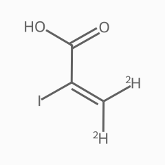 [2H]C([2H])=C(I)C(=O)O